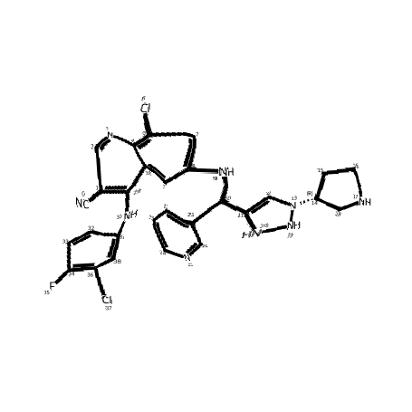 N#Cc1cnc2c(Cl)cc(NC(C3=CN([C@@H]4CCNC4)NN3)c3cccnc3)cc2c1Nc1ccc(F)c(Cl)c1